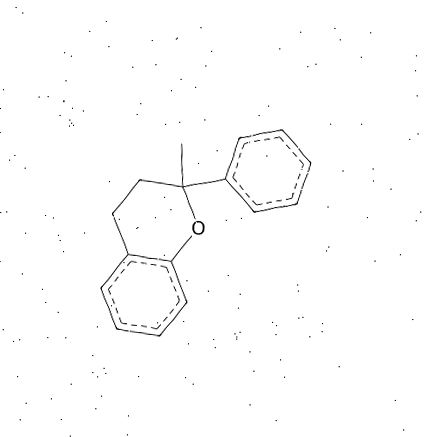 CC1(c2ccccc2)CCc2ccccc2O1